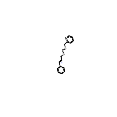 C(=C\c1ccccc1)/CSSSCc1ccccn1